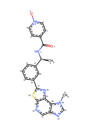 C[C@H](NC(=O)c1cc[n+]([O-])cc1)c1cccc(-c2nc3c(ncc4ncn(C)c43)s2)c1